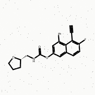 C#Cc1c(F)ccc2cc(OC(=O)NC[C@@H]3CCCO3)cc(C(C)C)c12